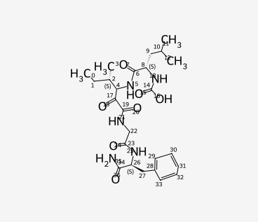 CC[C@H](C)C(NC(=O)[C@H](CC(C)C)NC(=O)O)C(=O)C(=O)NCC(=O)N[C@@H](Cc1ccccc1)C(N)=O